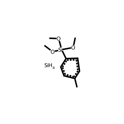 CO[Si](OC)(OC)c1ccc(C)cc1.[SiH4]